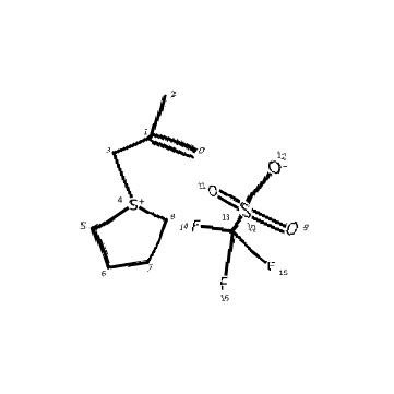 C=C(C)C[S+]1CCCC1.O=S(=O)([O-])C(F)(F)F